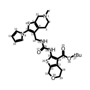 CN1CCc2c(sc(-n3cccc3)c2CNC(=O)Nc2sc3c(c2C(=O)OC(C)(C)C)CCOC3)C1